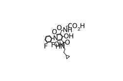 O=C(O)CNC(=O)c1c(O)c(C(=O)NCCC2CC2)c(O)n(-c2cccc(F)c2F)c1=O